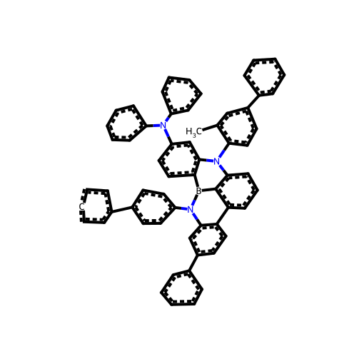 Cc1cc(-c2ccccc2)ccc1N1c2cc(N(c3ccccc3)c3ccccc3)ccc2B2c3c(cccc31)-c1ccc(-c3ccccc3)cc1N2c1ccc(-c2ccccc2)cc1